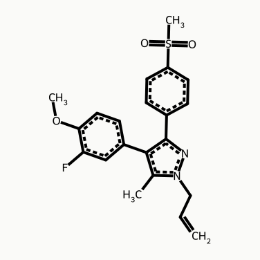 C=CCn1nc(-c2ccc(S(C)(=O)=O)cc2)c(-c2ccc(OC)c(F)c2)c1C